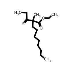 CCCCCCCCC(C)(C(=O)OCC)C(=S)CC